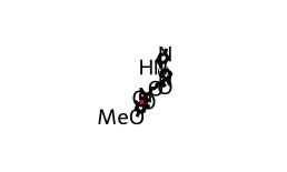 COc1cc(C)c(S(=O)(=O)N(C)CCOCC(=O)N2CCC[C@@H](NC3CCN(C)CC3)C2)c(C)c1